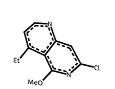 CCc1ccnc2cc(Cl)nc(OC)c12